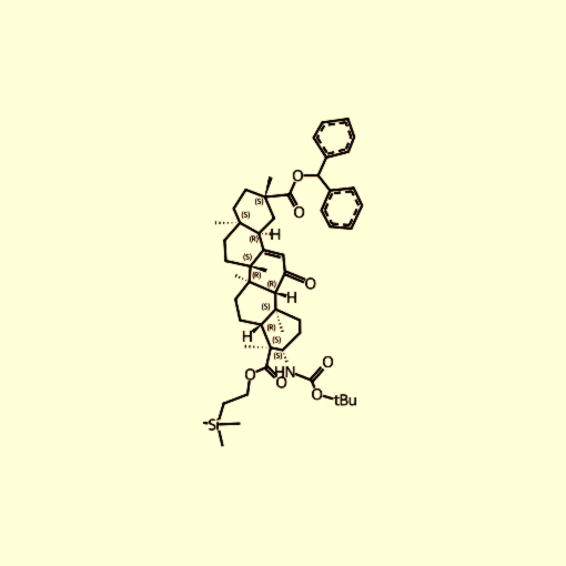 CC(C)(C)OC(=O)N[C@H]1CC[C@@]2(C)[C@@H](CC[C@]3(C)[C@@H]2C(=O)C=C2[C@@H]4C[C@@](C)(C(=O)OC(c5ccccc5)c5ccccc5)CC[C@]4(C)CC[C@]23C)[C@]1(C)C(=O)OCC[Si](C)(C)C